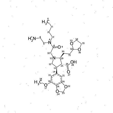 CCCCN(CCN)C(=O)CN1C[C@H](c2cc(OC)c3c(c2)OCO3)[C@@H](C(=O)O)[C@@H]1CCC1OCCO1